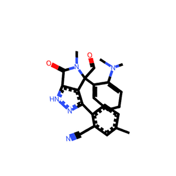 Cc1ccc(-c2n[nH]c3c2C(C=O)(C2=CCCC=C2N(C)C)N(C)C3=O)c(C#N)c1